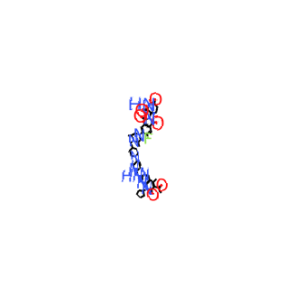 CC(=O)c1c(C)c2cnc(Nc3ccc(N4CCC(CN5C(C)CN(c6cc7c(cc6F)C(=O)N(C6CCC(=O)NC6=O)C7=O)CC5C)CC4)cn3)nc2n(C2CCCC2)c1=O